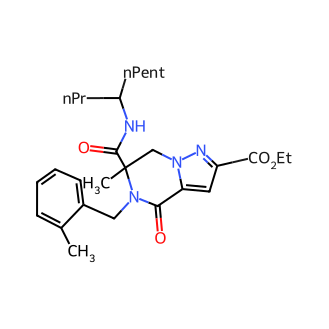 CCCCCC(CCC)NC(=O)C1(C)Cn2nc(C(=O)OCC)cc2C(=O)N1Cc1ccccc1C